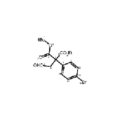 CCOC(=O)C(CC=O)(C(=O)OC(C)(C)C)c1ccc(Br)cc1